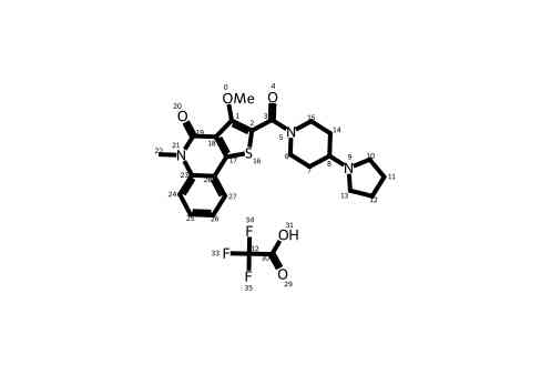 COc1c(C(=O)N2CCC(N3CCCC3)CC2)sc2c1c(=O)n(C)c1ccccc21.O=C(O)C(F)(F)F